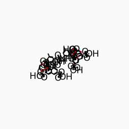 Cc1ccc2cc1S(=O)(=O)N2c1c2c(NC(=O)Nc3cc(C)c4c(N5c6ccc(C)c(c6)S5(=O)=O)c3N(c3cc(S(=O)(=O)O)cc5cc(S(=O)(=O)O)cc(S(=O)(=O)O)c35)S4(=O)=O)cc(C)c1S(=O)(=O)N2c1cc(S(=O)(=O)O)cc2cc(S(=O)(=O)O)cc(S(=O)(=O)O)c12